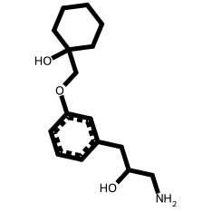 NCC(O)Cc1cccc(OCC2(O)CCCCC2)c1